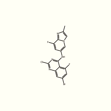 Cc1cn2cc(Nc3nc(Cl)nc4cc(Br)cc(F)c34)cc(F)c2n1